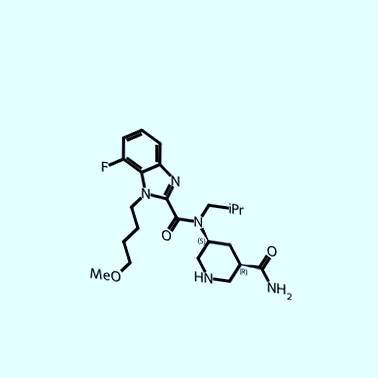 COCCCCn1c(C(=O)N(CC(C)C)[C@@H]2CNC[C@H](C(N)=O)C2)nc2cccc(F)c21